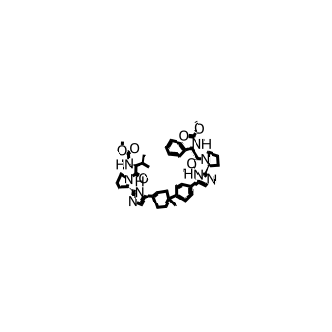 COC(=O)N[C@@H](C(=O)N1CCC[C@H]1c1ncc(-c2ccc(C3(C)CC=C(c4cnc([C@@H]5CCCN5C(=O)[C@H](NC(=O)OC)C(C)C)[nH]4)CC3)cc2)[nH]1)c1ccccc1